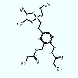 CCO[Si](CCc1ccc(CSC(=O)CC)c(CSC(=O)CC)c1)(OCC)OCC